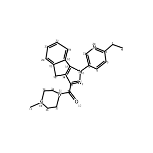 CCc1ccc(-n2nc(C(=O)N3CCN(C)CC3)c3c2-c2ccccc2C3)cn1